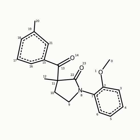 COc1ccccc1N1CCC(C)(C(=O)c2cccc(C)c2)C1=O